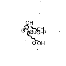 CCCCC(C)(O)C/C=C/[C@H]1[C@H](O)CC(=O)[C@@H]1C/C=C\CCCC(=O)CO